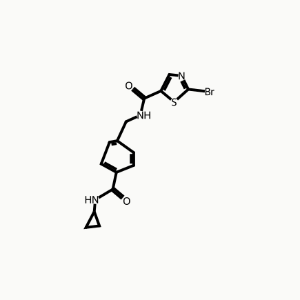 O=C(NC1CC1)c1ccc(CNC(=O)c2cnc(Br)s2)cc1